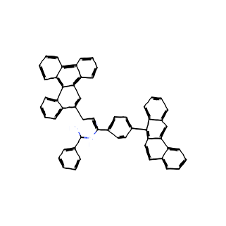 NC(N/C(=C\Cc1cc2c3ccccc3c3ccccc3c2c2ccccc12)c1ccc(-c2c3ccccc3cc3c2ccc2ccccc23)cc1)c1ccccc1